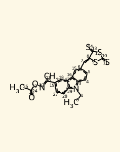 CCn1c2ccc(/C=C3\SC(=S)SC3=S)cc2c2cc(/C(C)=N/OC(C)=O)ccc21